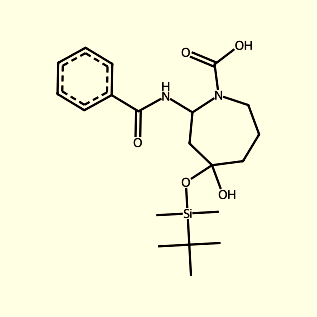 CC(C)(C)[Si](C)(C)OC1(O)CCCN(C(=O)O)C(NC(=O)c2ccccc2)C1